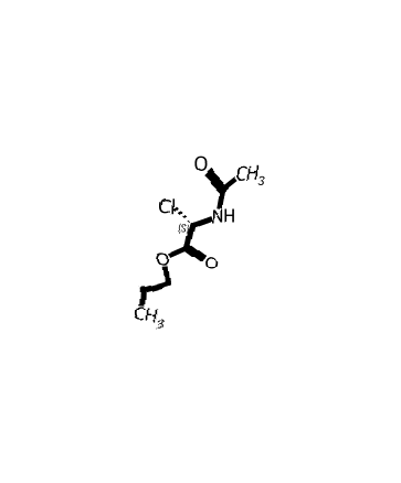 CCCOC(=O)[C@H](Cl)NC(C)=O